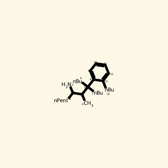 CCCCCC(N)C(C)C(CCCC)(CCCC)c1ccccc1CCCC